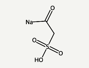 O=[C]([Na])CS(=O)(=O)O